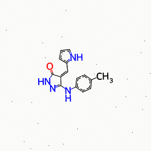 Cc1ccc(NC2=NNC(=O)C2=Cc2ccc[nH]2)cc1